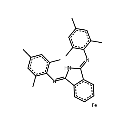 Cc1cc(C)c(N=C2NC(=Nc3c(C)cc(C)cc3C)c3ccccc32)c(C)c1.[Fe]